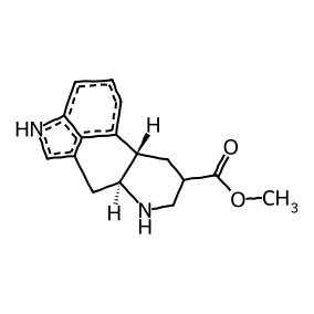 COC(=O)C1CN[C@H]2Cc3c[nH]c4cccc(c34)[C@@H]2C1